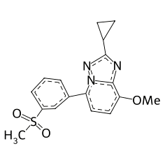 COc1ccc(-c2cccc(S(C)(=O)=O)c2)n2nc(C3CC3)nc12